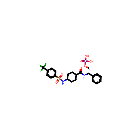 O=C(N[C@H](COP(=O)(O)O)c1ccccc1)C1CCC(NS(=O)(=O)c2ccc(C(F)(F)F)cc2)CC1